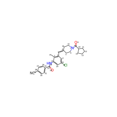 Cc1c(C=C2CCN(C(=O)C3CCCC3)CC2)cc(Cl)cc1NC(=O)c1ccc(C#N)cc1